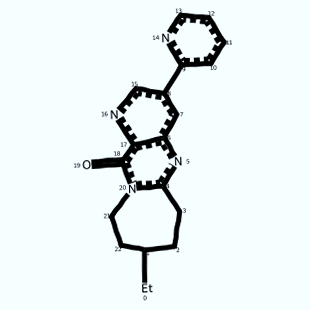 CCC1CCc2nc3cc(-c4ccccn4)cnc3c(=O)n2CC1